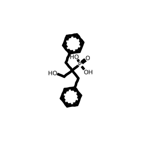 O=P(O)(O)C(CO)(Cc1ccccc1)Cc1ccccc1